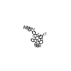 CC(NC(=O)[C@@H]1c2ccccc2C(=O)N([C@H]2CCCC[C@@H]2NS(C)(=O)=O)[C@H]1c1ccc(Cl)cc1Cl)c1ccc(C2=NNNN2)cc1